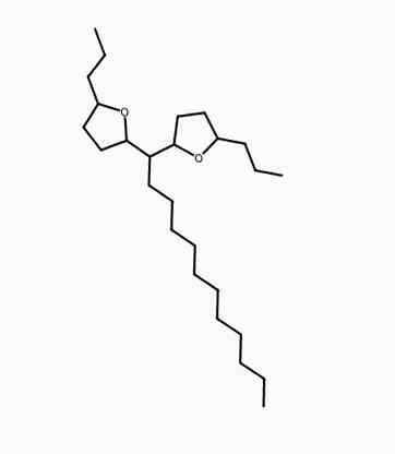 CCCCCCCCCCCC(C1CCC(CCC)O1)C1CCC(CCC)O1